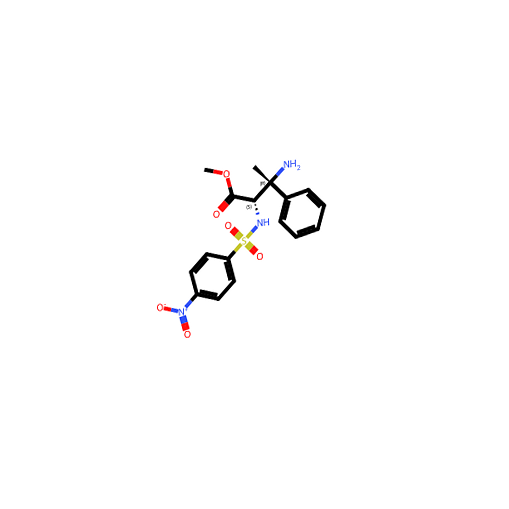 COC(=O)[C@@H](NS(=O)(=O)c1ccc([N+](=O)[O-])cc1)[C@](C)(N)c1ccccc1